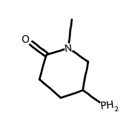 CN1CC(P)CCC1=O